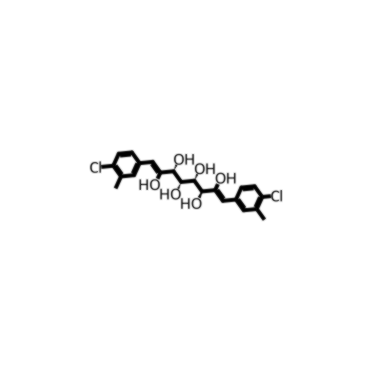 Cc1cc(C=C(O)[C@@H](O)[C@@H](O)[C@H](O)[C@@H](O)C(O)=Cc2ccc(Cl)c(C)c2)ccc1Cl